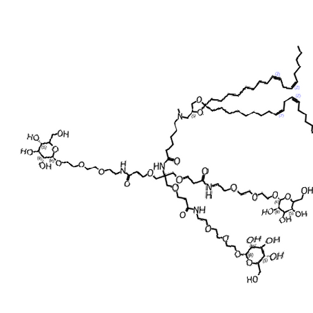 CCCCC/C=C\C/C=C\CCCCCCCCC1(CCCCCCCC/C=C\C/C=C\CCCCC)OC[C@H](CN(C)CCCCCC(=O)NC(COCCC(=O)NCCOCCOCCO[C@@H]2OC(CO)[C@@H](O)C(O)[C@H]2O)(COCCC(=O)NCCOCCOCCO[C@@H]2OC(CO)[C@@H](O)C(O)[C@H]2O)COCCC(=O)NCCOCCOCCO[C@@H]2OC(CO)[C@@H](O)C(O)[C@H]2O)O1